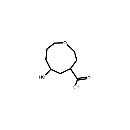 O=C(O)C1CCOCCCC(O)C1